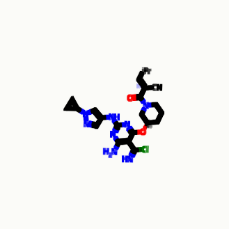 CC(C)/C=C(\C#N)C(=O)N1CCC[C@@H](Oc2nc(Nc3cnn(C4CC4)c3)nc(N)c2C(=N)Cl)C1